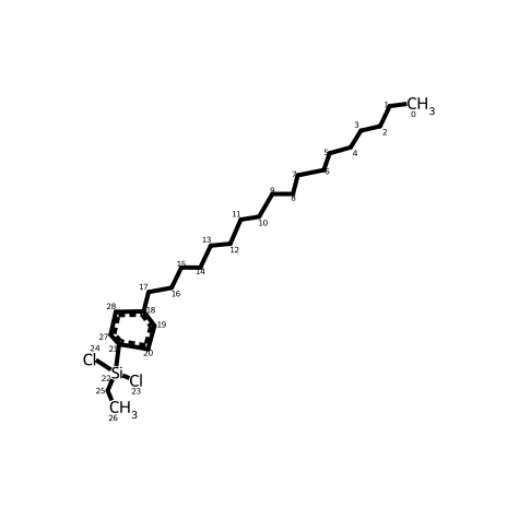 CCCCCCCCCCCCCCCCCCc1ccc([Si](Cl)(Cl)CC)cc1